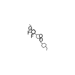 CCOc1ccc(C2CCC(OCC3CCC(CC)CC3)OC2)c(F)c1F